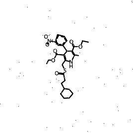 CCOC(=O)C1=C(C)NC(CSC(=O)CCC2CCCCC2)=C(C(=O)OCC)C1c1cccc([N+](=O)[O-])c1